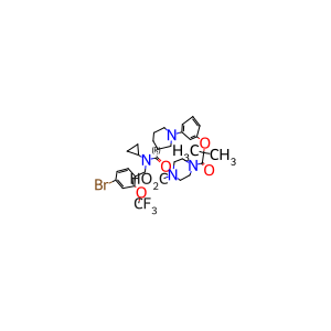 CC(C)(Oc1cccc(N2CCC[C@@H](C(=O)N(Cc3ccc(Br)cc3OC(F)(F)F)C3CC3)C2)c1)C(=O)N1CCN(C(=O)O)CC1